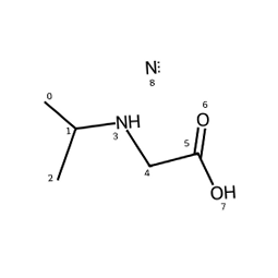 CC(C)NCC(=O)O.[N]